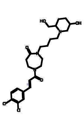 O=C(/C=C/c1ccc(Cl)c(Cl)c1)N1CCC(=O)N(CCCCN2CC(O)CCC2CO)CC1